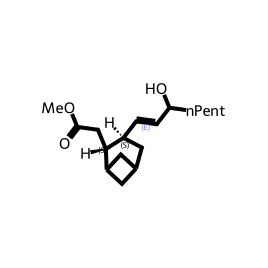 CCCCCC(O)/C=C/[C@H]1CC2CC(C2)[C@@H]1CC(=O)OC